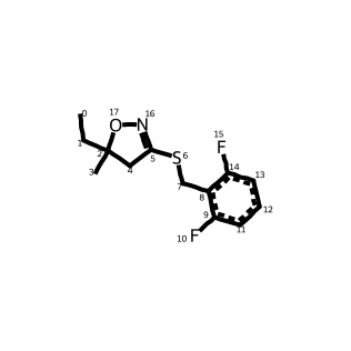 CCC1(C)CC(SCc2c(F)cccc2F)=NO1